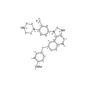 COc1ccc(Cc2ccc3ncc4c(c3c2)N(c2ccc(N3CCNCC3)c(C(F)(F)F)c2)CN4)cn1